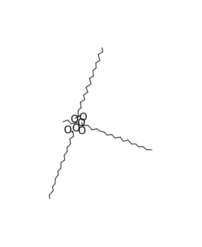 CCCCCCCCCCCCCCCCCC(=O)OC(CCC)(OC(=O)CCCCCCCCCCCCCCCCC)OC(=O)CCCCCCCCCCCCCCCCC